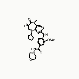 COc1cc(C(=O)NN2CCOCC2)ccc1Nc1ncc2c(n1)N(C1CCCC1)CC(F)(F)C(=O)N2C